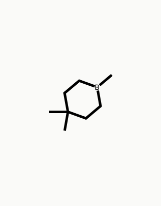 CB1CCC(C)(C)CC1